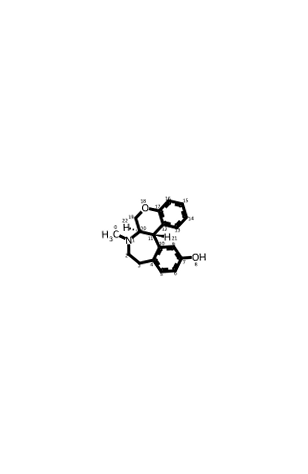 CN1CCc2ccc(O)cc2[C@H]2c3ccccc3OC[C@@H]21